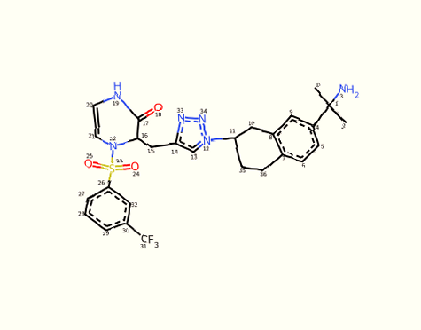 CC(C)(N)c1ccc2c(c1)CC(n1cc(CC3C(=O)NC=CN3S(=O)(=O)c3cccc(C(F)(F)F)c3)nn1)CC2